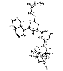 CC(C)C[C@H](NC(=O)[C@H](CCCNC1NN1[N+](=O)[O-])NC(=O)c1cccc2ccccc12)B1O[C@@H]2C[C@@H]3C[C@@H](C3(C)C)[C@]2(C)O1